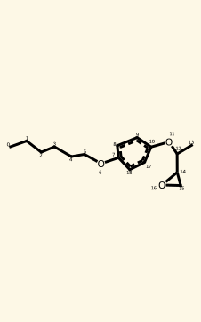 CCCCCCOc1ccc(OC(C)C2CO2)cc1